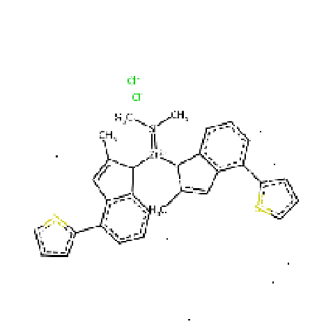 CC1=Cc2c(-c3cccs3)cccc2[CH]1[Zr+2]([CH]1C(C)=Cc2c(-c3cccs3)cccc21)=[Si](C)C.[Cl-].[Cl-]